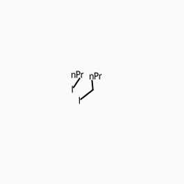 CCCCI.CCCI